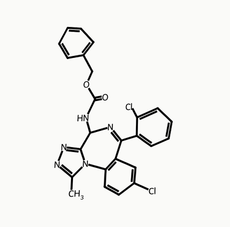 Cc1nnc2n1-c1ccc(Cl)cc1C(c1ccccc1Cl)=NC2NC(=O)OCc1ccccc1